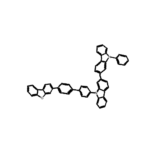 c1ccc(-n2c3ccccc3c3ccc(-c4ccc5c6ccccc6n(-c6ccc(-c7ccc(-c8ccc9c(c8)oc8ccccc89)cc7)cc6)c5c4)cc32)cc1